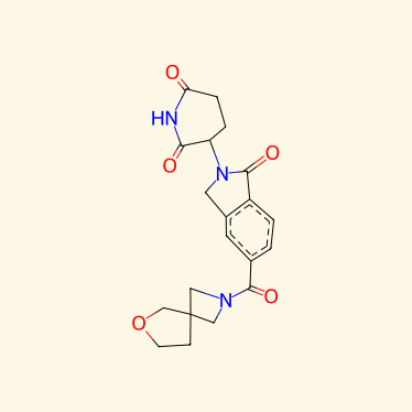 O=C1CCC(N2Cc3cc(C(=O)N4CC5(CCOC5)C4)ccc3C2=O)C(=O)N1